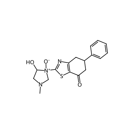 CN1CC(O)[N+]([O-])(c2nc3c(s2)C(=O)CC(c2ccccc2)C3)C1